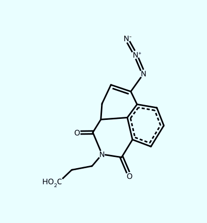 [N-]=[N+]=NC1=CCC2C(=O)N(CCC(=O)O)C(=O)c3cccc1c32